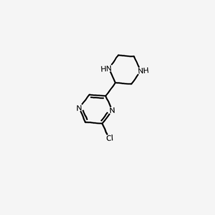 Clc1cncc(C2CNCCN2)n1